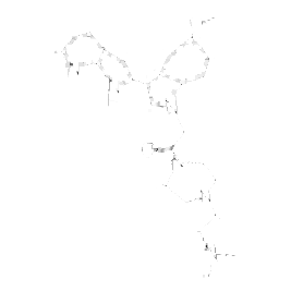 COc1ccc2c(c1)c(-c1cc3cccnc3[nH]1)cn2CC(=O)N1CCN(CCN(C)C)CC1